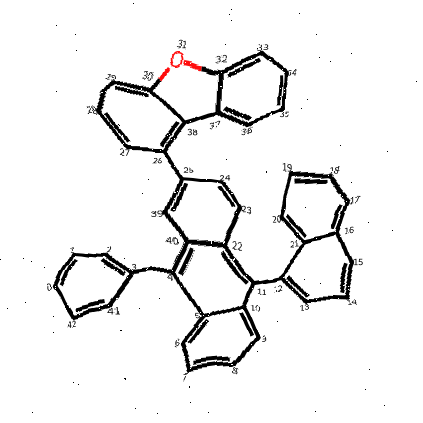 c1ccc(-c2c3ccccc3c(-c3cccc4ccccc34)c3ccc(-c4cccc5oc6ccccc6c45)cc23)cc1